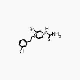 NC(=S)NN1C=CN(CCc2cccc(Cl)c2)C(Br)=C1